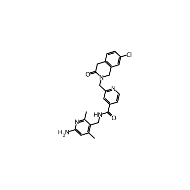 Cc1cc(N)nc(C)c1CNC(=O)c1ccnc(CN2Cc3cc(Cl)ccc3CC2=O)c1